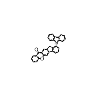 O=c1c2ccccc2oc2cc3c(cc12)Cc1c-3cccc1-n1c2ccccc2c2ccccc21